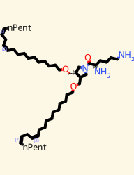 CCCCC/C=C\C/C=C\CCCCCCCCCCOCC1CN(C(=O)[C@@H](N)CCCCN)C[C@H]1COCCCCCCCCCC/C=C\C/C=C\CCCCC